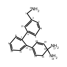 NCc1cccc(-c2ccccc2C2=CCC(N)(N)C=C2)c1